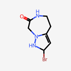 O=C1CN2NC(Br)C=C2CCN1